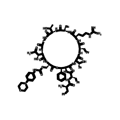 CC[C@H](C)[C@@H]1NC(=O)[C@@H](CCCNC(=N)N)NC(=O)[C@H](CC(C)C)NC(=O)[C@H]([C@H](O)C(C)C)NC(=O)[C@@H](NC(=O)[C@H](CC(C)C)NC(=O)[C@H](N)CC(C)C)[C@@H](c2ccccc2)OC(=O)[C@H](COC(=O)Nc2ccc(N3CCOCC3)cc2)NC(=O)[C@H]([C@H](O)C(N)=O)NC(=O)CNC(=O)[C@H]([C@H](C)O)NC1=O